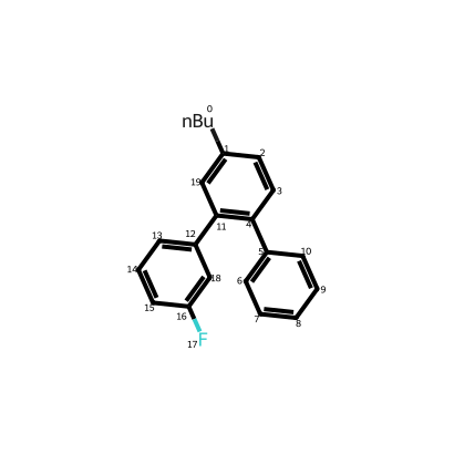 CCCCc1ccc(-c2ccccc2)c(-c2cccc(F)c2)c1